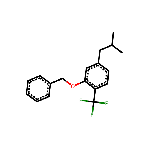 CC(C)Cc1ccc(C(F)(F)F)c(OCc2ccccc2)c1